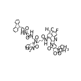 CC[C@@]1(O)C(=O)OCc2c1cc1n(c2=O)Cc2c-1nc1cc(F)c(C)c3c1c2[C@@H](NC(=O)CCCN(C(=O)CNC(=O)CNC(=O)OCC1c2ccccc2-c2ccccc21)[C@@H](Cc1ccccc1)C(N)=O)CC3